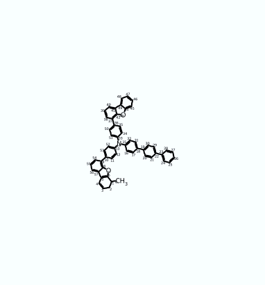 CC1CC=Cc2c1oc1c(-c3ccc(N(c4ccc(-c5ccc(-c6ccccc6)cc5)cc4)c4ccc(-c5cccc6c5oc5ccccc56)cc4)cc3)cccc21